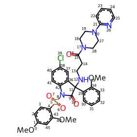 COc1ccc(S(=O)(=O)N2C(=O)C(NCCC(=O)N3CCN(c4ccccn4)CC3)(c3ccccc3OC)c3cc(Cl)ccc32)c(OC)c1